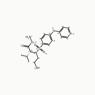 CC(C)[C@H](C(=O)ON)N(CCS)S(=O)(=O)c1ccc(Oc2ccncc2)cc1